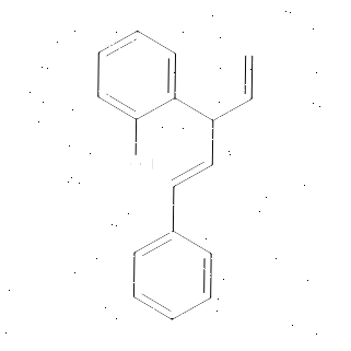 C=CC(/C=C/c1ccccc1)c1ccccc1O